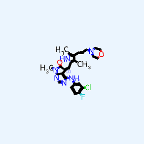 Cc1[nH]c(/C=C2\C(=O)N(C)c3ncnc(Nc4ccc(F)c(Cl)c4)c32)c(C)c1CCCN1CCOCC1